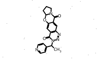 CC(c1ccncc1)n1nnc2cc3c(cc2c1=O)OC1CCCN1C3=O